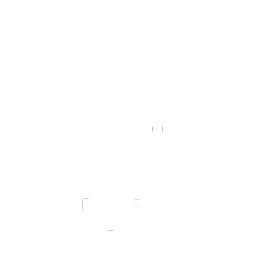 CCc1cccc(Oc2cccc(C(F)(F)F)c2)c1